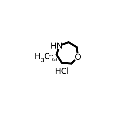 C[C@H]1CCOCCN1.Cl